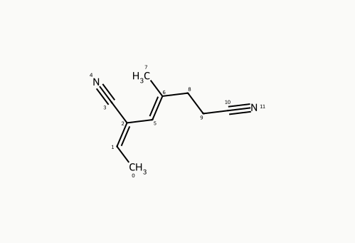 C/C=C(C#N)\C=C(/C)CCC#N